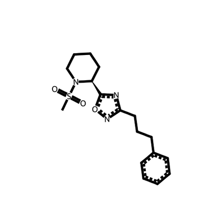 CS(=O)(=O)N1CCCC[C@H]1c1nc(CCCc2ccccc2)no1